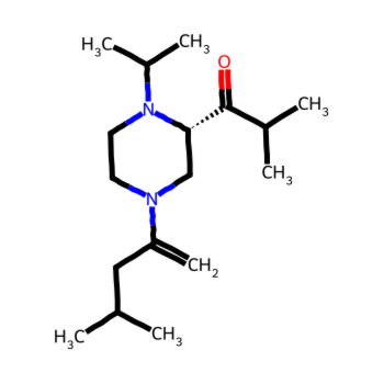 C=C(CC(C)C)N1CCN(C(C)C)[C@H](C(=O)C(C)C)C1